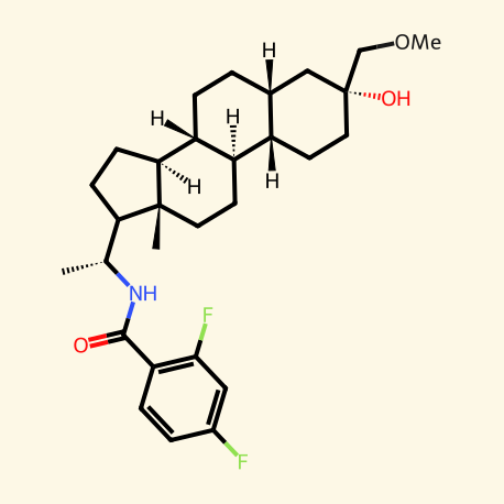 COC[C@@]1(O)CC[C@H]2[C@H](CC[C@@H]3[C@@H]2CC[C@]2(C)C([C@@H](C)NC(=O)c4ccc(F)cc4F)CC[C@@H]32)C1